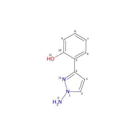 Nn1ccc(-c2ccccc2O)n1